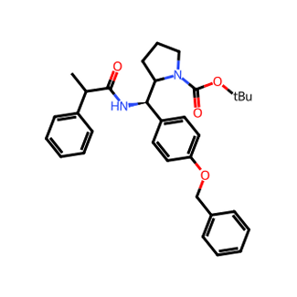 CC(C(=O)N[C@H](c1ccc(OCc2ccccc2)cc1)C1CCCN1C(=O)OC(C)(C)C)c1ccccc1